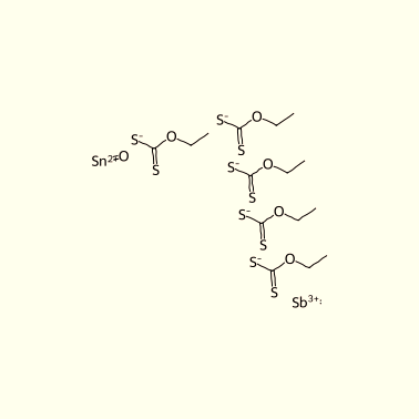 CCOC(=S)[S-].CCOC(=S)[S-].CCOC(=S)[S-].CCOC(=S)[S-].CCOC(=S)[S-].[O]=[Sn+2].[Sb+3]